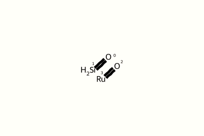 O=[SiH2].[O]=[Ru]